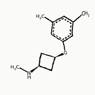 CN[C@H]1C[C@@H](Oc2cc(C)cc(C)c2)C1